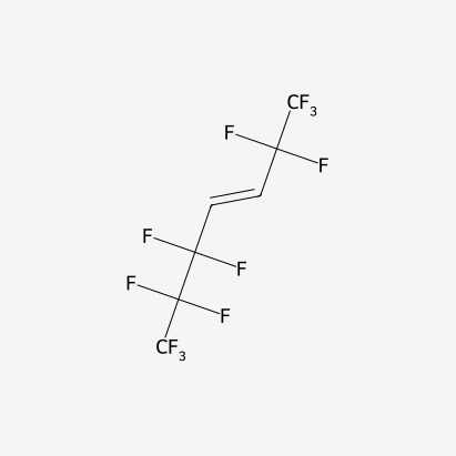 FC(F)(F)C(F)(F)/C=C/C(F)(F)C(F)(F)C(F)(F)F